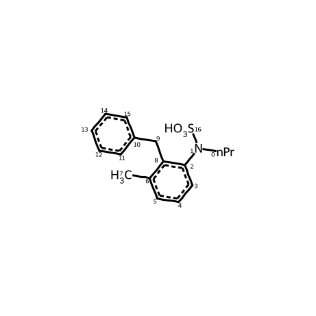 CCCN(c1cccc(C)c1Cc1ccccc1)S(=O)(=O)O